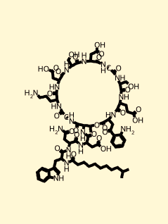 CC(C)CCCCCCCCC(=O)NC(Cc1c[nH]c2ccccc12)C(=O)NC(CC(N)=O)C(=O)NC(CC(=O)O)C(=O)NC1C(=O)NCC(=O)NC(CCCN)C(=O)NC(CC(=O)O)C(=O)NC(CO)C(=O)NC(CC(=O)O)C(=O)NCC(=O)NC(CO)C(=O)NC(CCC(=O)O)C(=O)NC(CC(=O)c2ccccc2N)C(=O)OC1C